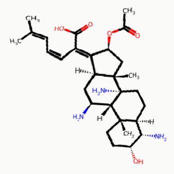 CC(=O)O[C@H]1C[C@@]2(C)[C@@H](C[C@H](N)[C@H]3[C@@]4(C)CC[C@@H](O)[C@@H](N)[C@@H]4CC[C@@]32N)/C1=C(\C=C/C=C(C)C)C(=O)O